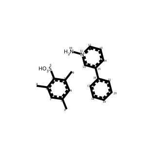 Cc1cc(C)c(S(=O)(=O)O)c(C)c1.N[n+]1cccc(-c2ccccc2)c1